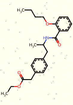 CCCCOc1ccccc1C(=O)NC(C)Cc1ccc(CC(=O)OCC)cc1